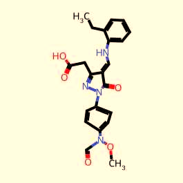 CCc1ccccc1NC=C1C(=O)N(c2ccc(N(C=O)OC)cc2)N=C1CC(=O)O